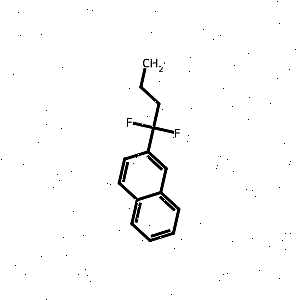 [CH2]CCC(F)(F)c1ccc2ccccc2c1